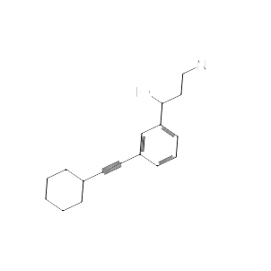 NCCC(O)c1cccc(C#CC2CCCCC2)c1